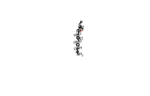 Cn1c(-c2cn(CC#N)nc2C(F)(F)F)cnc1C(=O)Nc1ccc(C(=O)NC2CCC(NC(=O)C3CC(N)C3)CC2)c(Cl)c1